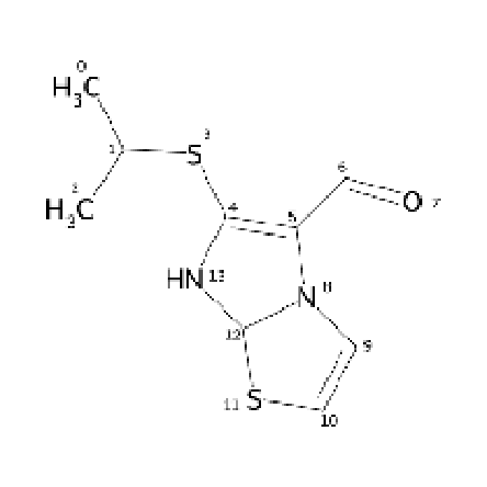 CC(C)SC1=C(C=O)N2C=CSC2N1